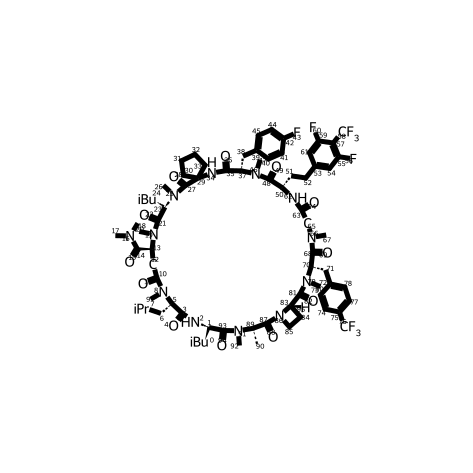 CC[C@H](C)[C@@H]1NC(=O)[C@H](CC(C)C)N(C)C(=O)C[C@@H](C(=O)N(C)C)N(C)C(=O)[C@H]([C@@H](C)CC)N(C)C(=O)C2(CCCC2)NC(=O)[C@H](Cc2ccc(F)cc2)N(C)C(=O)[C@H](CCc2cc(F)c(C(F)(F)F)c(F)c2)NC(=O)CN(C)C(=O)[C@H](Cc2ccc(C(F)(F)F)cc2)N(C)C(=O)[C@@H]2CCN2C(=O)[C@H](C)N(C)C1=O